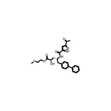 COCCOC(=O)[C@H](O)C[C@@H](Cc1ccc(-c2ccccc2)cc1)NC(=O)c1cc(C(C)=O)n[nH]1